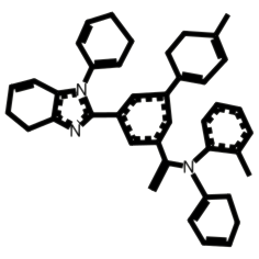 C=C(c1cc(C2=CC=C(C)CC2)cc(-c2nc3c(n2C2=CCCC=C2)C=CCC3)c1)N(C1=CC=CCC1)c1ccccc1C